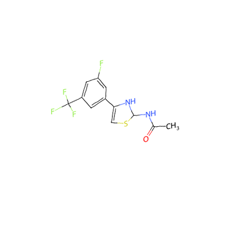 CC(=O)NC1NC(c2cc(F)cc(C(F)(F)F)c2)=CS1